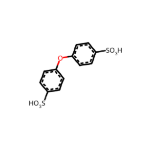 O=S(=O)(O)c1ccc(Oc2ccc(S(=O)(=O)O)cc2)cc1